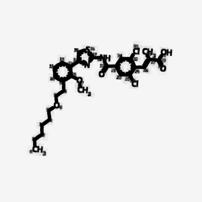 CCCCCCOCCc1cccc(-c2csc(NC(=O)c3cc(Cl)c(C=C(C)C(=O)O)c(Cl)c3)n2)c1OC